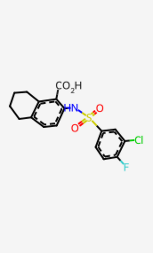 O=C(O)c1c(NS(=O)(=O)c2ccc(F)c(Cl)c2)ccc2c1CCCC2